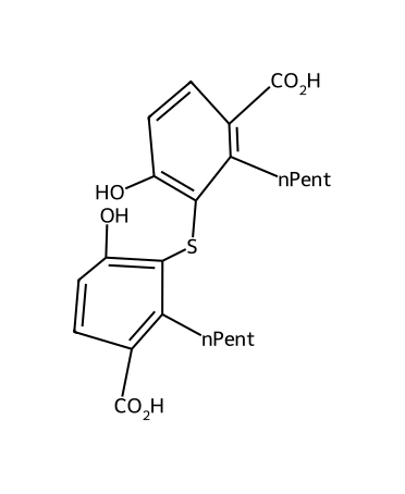 CCCCCc1c(C(=O)O)ccc(O)c1Sc1c(O)ccc(C(=O)O)c1CCCCC